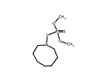 COP(=S)(OC)SN1CCCCCCC1